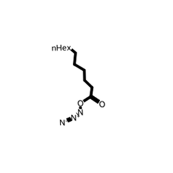 CCCCCCCCCCCC(=O)ON=[N+]=[N-]